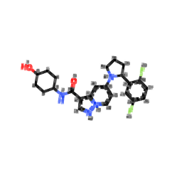 O=C(NC1CCC(O)CC1)c1cnn2ccc(N3CCCC3c3cc(F)ccc3F)cc12